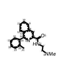 CNCCNC(=O)c1cc2ccccc2c(-c2ccccc2C)n1